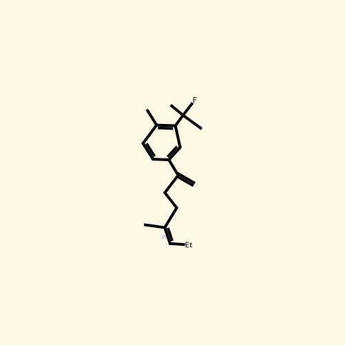 C=C(CC/C(C)=C\CC)c1ccc(C)c(C(C)(C)F)c1